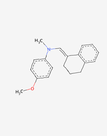 COc1ccc(N(C)/C=C2\CCCc3ccccc32)cc1